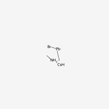 CN.[Br][Pb][I].[CsH]